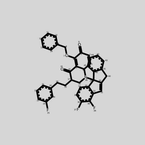 O=C1C=CC2C(=C1OCc1ccccc1)C(=O)C(CCc1cccc(F)c1)CN2C12C(=Cc3c1ccc(F)c3F)Cc1ccccc12